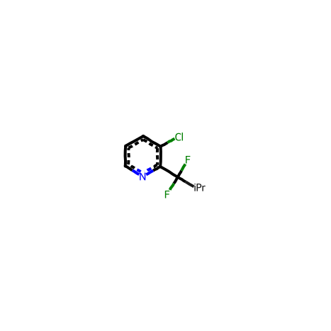 CC(C)C(F)(F)c1ncccc1Cl